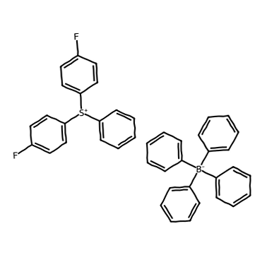 Fc1ccc([S+](c2ccccc2)c2ccc(F)cc2)cc1.c1ccc([B-](c2ccccc2)(c2ccccc2)c2ccccc2)cc1